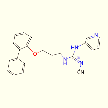 N#C/N=C(\NCCCOc1ccccc1-c1ccccc1)Nc1cccnc1